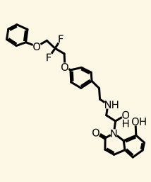 O=c1ccc2cccc(O)c2n1C(O)CNCCc1ccc(OCC(F)(F)COc2ccccc2)cc1